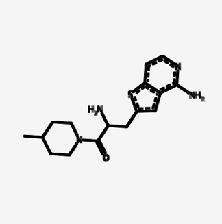 CC1CCN(C(=O)C(N)Cc2cc3c(N)nccc3s2)CC1